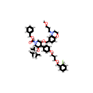 COCCCN1CCOc2ccc(COC3CN(C(=O)OCc4ccccc4)CC(O[Si](C(C)C)(C(C)C)C(C)C)C3c3ccc(OCCCOCc4ccccc4F)cc3)cc21